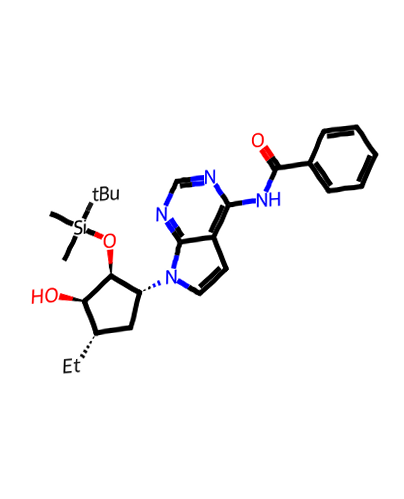 CC[C@H]1C[C@@H](n2ccc3c(NC(=O)c4ccccc4)ncnc32)[C@H](O[Si](C)(C)C(C)(C)C)[C@@H]1O